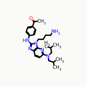 CC(=O)c1ccc(Nc2nc3ccc(N(CC(C)C)CC(C)C)nc3n2CCCCN)cc1